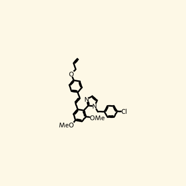 C=CCOc1ccc(C=Cc2cc(OC)cc(OC)c2-c2nccn2Cc2ccc(Cl)cc2)cc1